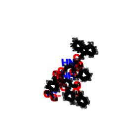 O=C(CCC(NP(=O)(OCCC(NC(=O)OCC1c2ccccc2-c2ccccc21)C(=O)OCc1ccccc1)OCc1ccc([N+](=O)[O-])cc1)C(=O)OCc1ccccc1)OCc1ccccc1